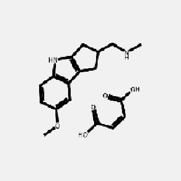 CNCC1Cc2[nH]c3ccc(OC)cc3c2C1.O=C(O)/C=C\C(=O)O